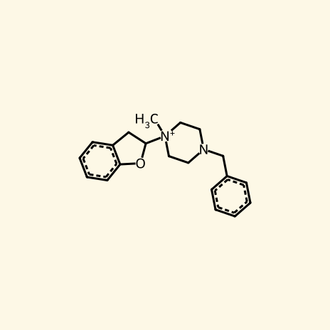 C[N+]1(C2Cc3ccccc3O2)CCN(Cc2ccccc2)CC1